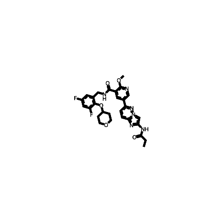 CCC(=O)Nc1cn2nc(-c3cnc(OC)c(C(=O)NCc4cc(F)cc(F)c4OC4CCOCC4)c3)ccc2n1